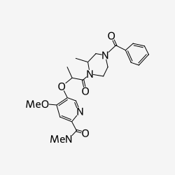 CNC(=O)c1cc(OC)c(OC(C)C(=O)N2CCN(C(=O)c3ccccc3)CC2C)cn1